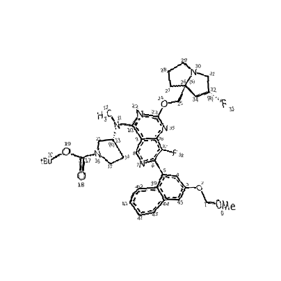 COCOc1cc(-c2ncc3c(N(C)[C@@H]4CCN(C(=O)OC(C)(C)C)C4)nc(OC[C@@]45CCCN4C[C@H](F)C5)nc3c2F)c2ccccc2c1